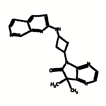 CC1(C)C(=O)N(C2CC(Nc3ccc4ccncc4n3)C2)c2nccnc21